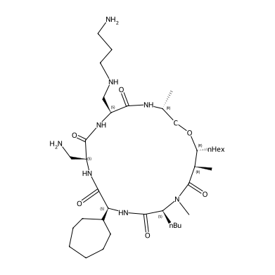 CCCCCC[C@H]1OC[C@@H](C)NC(=O)[C@H](CNCCCN)NC(=O)[C@H](CN)NC(=O)[C@H](C2CCCCCC2)NC(=O)[C@H](CCCC)N(C)C(=O)[C@@H]1C